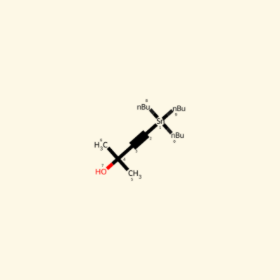 CCC[CH2][Sn]([C]#CC(C)(C)O)([CH2]CCC)[CH2]CCC